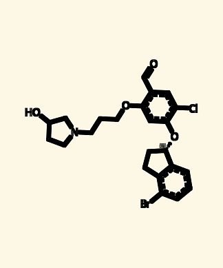 O=Cc1cc(Cl)c(O[C@H]2CCc3c(Br)cccc32)cc1OCCCN1CCC(O)C1